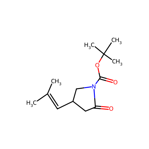 CC(C)=CC1CC(=O)N(C(=O)OC(C)(C)C)C1